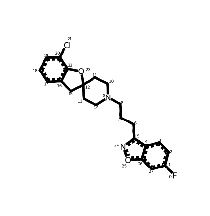 Fc1ccc2c(CCCN3CCC4(CC3)Cc3cccc(Cl)c3O4)noc2c1